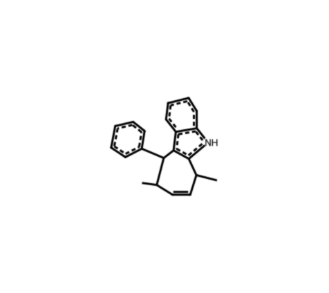 CC1C=CC(C)C(c2ccccc2)c2c1[nH]c1ccccc21